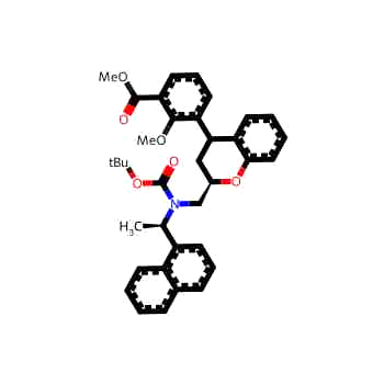 COC(=O)c1cccc(C2C[C@H](CN(C(=O)OC(C)(C)C)[C@H](C)c3cccc4ccccc34)Oc3ccccc32)c1OC